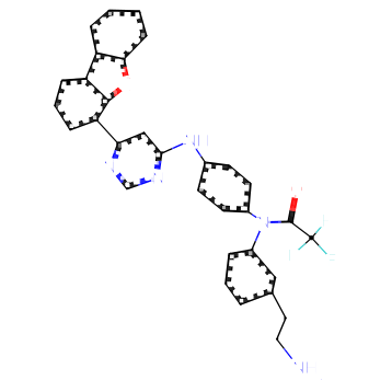 NCCc1cccc(N(C(=O)C(F)(F)F)c2ccc(Nc3cc(-c4cccc5c4oc4ccccc45)ncn3)cc2)c1